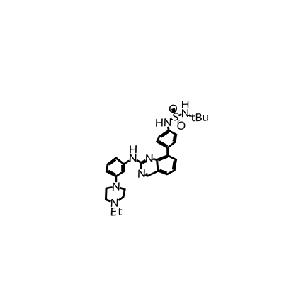 CCN1CCN(c2cccc(Nc3ncc4cccc(-c5ccc(NS(=O)(=O)NC(C)(C)C)cc5)c4n3)c2)CC1